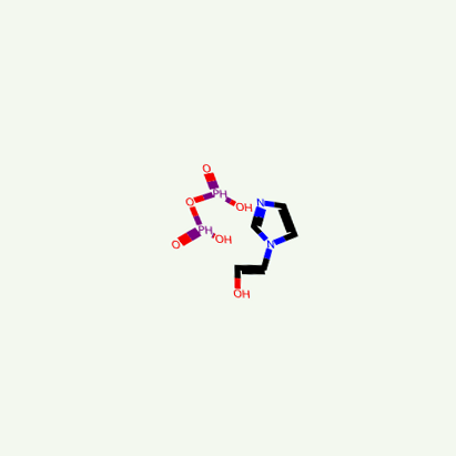 O=[PH](O)O[PH](=O)O.OC=Cn1ccnc1